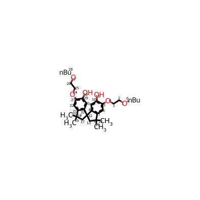 CCCCOCCOc1cc2c(cc1O)C1(CC2(C)C)CC(C)(C)c2cc(OCCOCCCC)c(O)cc21